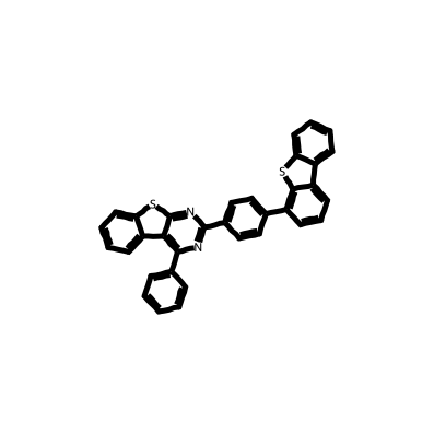 c1ccc(-c2nc(-c3ccc(-c4cccc5c4sc4ccccc45)cc3)nc3sc4ccccc4c23)cc1